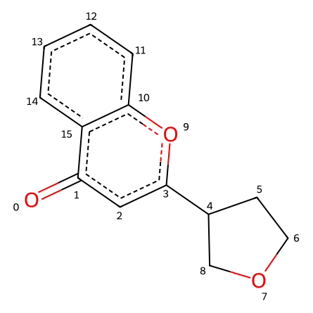 O=c1cc(C2CCOC2)oc2ccccc12